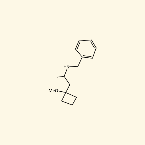 COC1(CC(C)NCc2ccccc2)CCC1